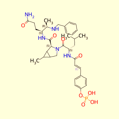 CC(C)C[C@H](NC(=O)/C=C/c1ccc(OP(=O)(O)O)cc1)C(=O)N1CC2C(C)C2[C@H]1C(=O)N[C@@H](CCC(N)=O)[C@@H](C)NCc1ccccc1